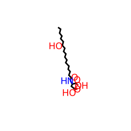 CCCCCCC(O)CCCCCCCCCCC(=O)NC(CC(=O)O)C(=O)O